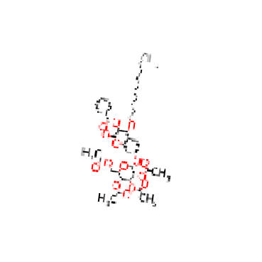 CCCCCCCCCCOc1c(OC(=O)c2ccccc2)c(=O)oc2cc(O[C@H]3O[C@H](COC(C)=O)[C@@H](OC(C)=O)[C@H](OC(C)=O)[C@@H]3OC(C)=O)ccc12